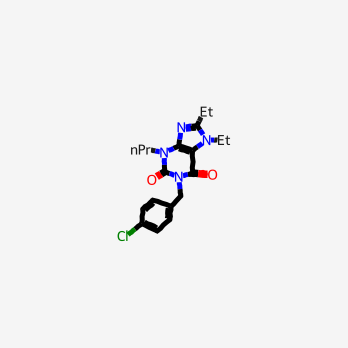 CCCn1c(=O)n(Cc2ccc(Cl)cc2)c(=O)c2c1nc(CC)n2CC